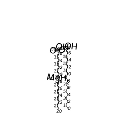 CCCCCCCCCCCCCCCCCC(=O)O.CCCCCCCCCCCCCCCCCC(=O)O.[MgH2]